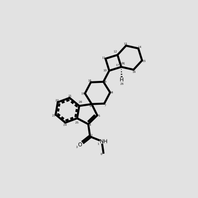 CNC(=O)C1=CC2(CCC(C3CC4CCCC[C@H]43)CC2)c2ccccc21